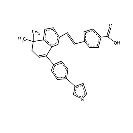 CC1(C)CC=C(c2ccc(-n3ccnc3)cc2)c2cc(C=Cc3ccc(C(=O)O)cc3)ccc21